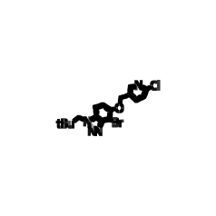 CC(C)(C)Cn1nnc2c(Br)c(OCc3ccc(Cl)nc3)ccc21